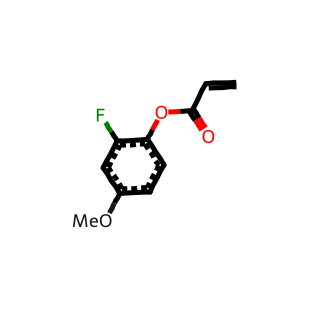 C=CC(=O)Oc1ccc(OC)cc1F